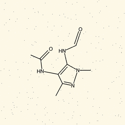 CC(=O)Nc1c(C)nn(C)c1NC=O